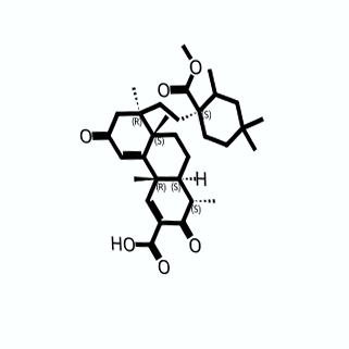 COC(=O)[C@]1(CC[C@]2(C)CC(=O)C=C3[C@@]4(C)C=C(C(=O)O)C(=O)[C@@H](C)[C@@H]4CC[C@]32C)CCC(C)(C)CC1C